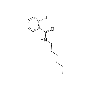 CCCCCCNC(=O)c1ccccc1I